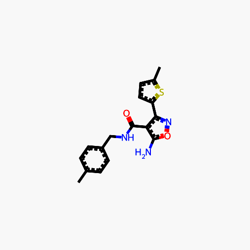 Cc1ccc(CNC(=O)c2c(-c3ccc(C)s3)noc2N)cc1